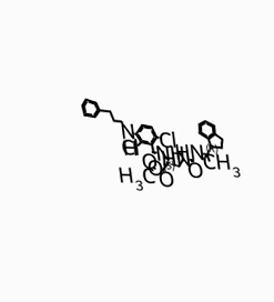 COC(=O)[C@H](CNC(=O)NC(C)[C@@H]1CCc2ccccc21)NC(=O)c1c(Cl)ccc(NCCCc2ccccc2)c1Cl